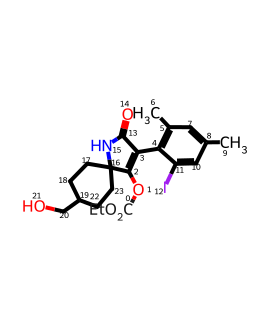 CCOC(=O)OC1=C(c2c(C)cc(C)cc2I)C(=O)NC12CCC(CO)CC2